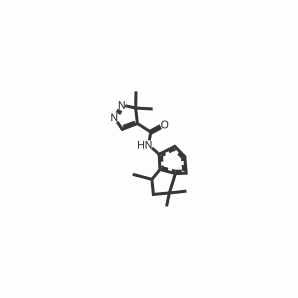 CC1CC(C)(C)c2cccc(NC(=O)C3=CN=NC3(C)C)c21